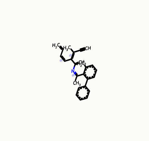 C#C/C(C)=C(/C=C\C=C)C(=C)/N=C(/C)c1c(C)cccc1-c1ccccc1